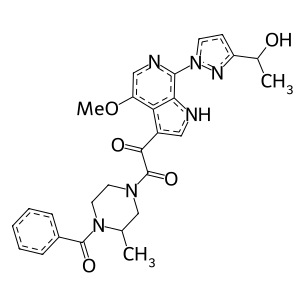 COc1cnc(-n2ccc(C(C)O)n2)c2[nH]cc(C(=O)C(=O)N3CCN(C(=O)c4ccccc4)C(C)C3)c12